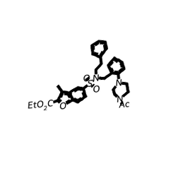 CCOC(=O)c1oc2ccc(S(=O)(=O)N(CCc3ccccc3)Cc3ccccc3N3CCN(C(C)=O)CC3)cc2c1C